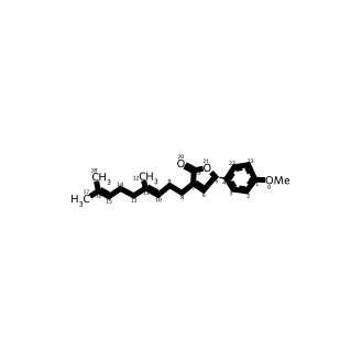 COc1ccc([C@@H]2C=C(CC/C=C(\C)CCC=C(C)C)C(=O)O2)cc1